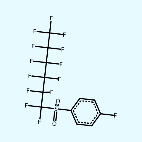 O=S(=O)(c1ccc(F)cc1)C(F)(F)C(F)(F)C(F)(F)C(F)(F)C(F)(F)C(F)(F)F